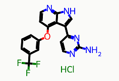 Cl.Nc1nccc(-c2c[nH]c3nccc(Oc4cccc(C(F)(F)F)c4)c23)n1